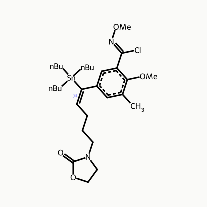 CCC[CH2][Sn]([CH2]CCC)([CH2]CCC)/[C](=C/CCCN1CCOC1=O)c1cc(C)c(OC)c(C(Cl)=NOC)c1